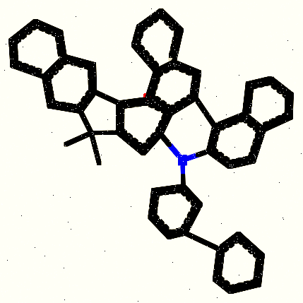 CC1(C)c2cc(N(c3cccc(-c4ccccc4)c3)c3ccc4ccccc4c3-c3ccc4ccccc4c3)ccc2-c2cc3ccccc3cc21